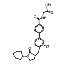 O=C(O)CNC(=O)c1ccc(-c2ccc(CC3CCN(C4CCCCC4)C3=O)c(Cl)c2)cc1